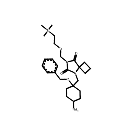 C[Si](C)(C)CCOCN1C(=O)N(CC2(OCc3ccccc3)CCC(N)CC2)C2(CCC2)C1=O